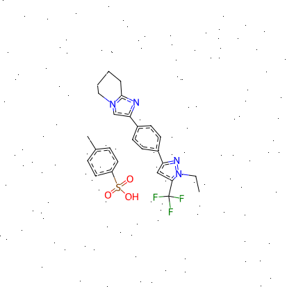 CCn1nc(-c2ccc(-c3cn4c(n3)CCCC4)cc2)cc1C(F)(F)F.Cc1ccc(S(=O)(=O)O)cc1